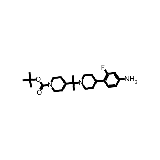 CC(C)(C)OC(=O)N1CCC(C(C)(C)N2CCC(c3ccc(N)cc3F)CC2)CC1